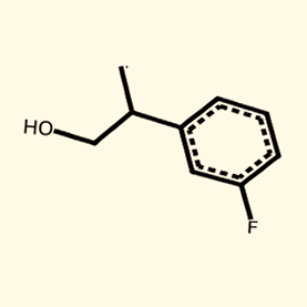 [CH2]C(CO)c1cccc(F)c1